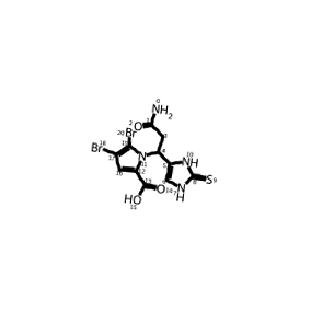 NC(=O)CC(c1c[nH]c(=S)[nH]1)n1c(C(=O)O)cc(Br)c1Br